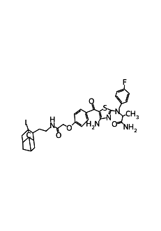 CC(C(N)=O)N(c1ccc(F)cc1)c1nc(N)c(C(=O)c2ccc(OCC(=O)NCCC3C4CC5CC(C4)CC3(I)C5)cc2)s1